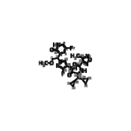 COCC(c1cc(F)c[nH]c1=O)n1cc(NC(=O)[C@@H](NC(=O)c2nonc2C)C(C2CC2)C2CC2)c(F)n1